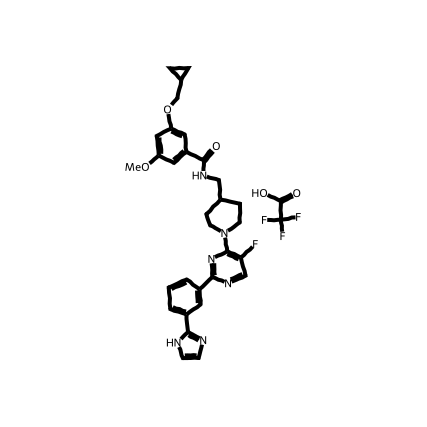 COc1cc(OCC2CC2)cc(C(=O)NCC2CCN(c3nc(-c4cccc(-c5ncc[nH]5)c4)ncc3F)CC2)c1.O=C(O)C(F)(F)F